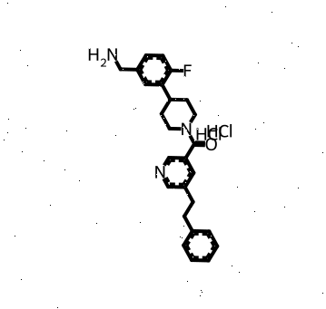 Cl.Cl.NCc1ccc(F)c(C2CCN(C(=O)c3cncc(CCc4ccccc4)c3)CC2)c1